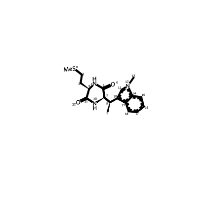 CSCC[C@H]1NC(=O)[C@@H]([C@H](C)c2cn(C)c3ccccc23)NC1=O